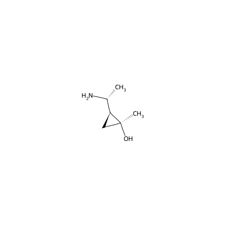 C[C@@H](N)[C@@H]1C[C@]1(C)O